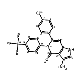 Nc1n[nH]c2nc(-c3ccc(Cl)cc3)n(-c3ccc(C(F)(F)F)cc3)c(=O)c12